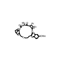 CC[C@@H]1[C@@H]2CN(C(=O)[C@H](C(C)(C)C)NC(=O)O[C@@H]3C4CC(C4)C[C@H]3CCCCCCc3nc4ccc(OC)cc4nc3O2)[C@@H]1C(C)=O